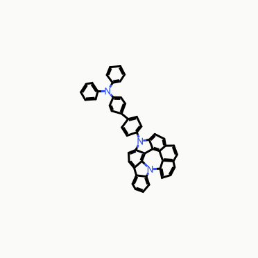 c1ccc(N(c2ccccc2)c2ccc(-c3ccc(-n4c5ccc6ccc7cccc8c7c6c5c5c4ccc4c6ccccc6n8c45)cc3)cc2)cc1